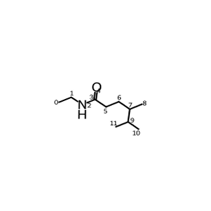 CCNC(=O)CCC(C)C(C)C